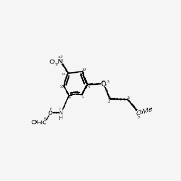 COCCOc1cc(NOC=O)cc([N+](=O)[O-])c1